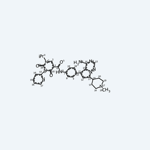 CC(C)n1cc(C(=O)Nc2ccc(-c3cc(C4CCN(C)CC4)n4ncnc(N)c34)cc2)c(=O)n(-c2ccccn2)c1=O